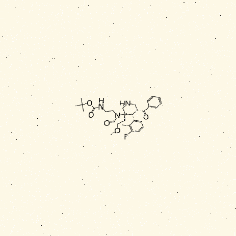 COCC[C@@]1(N(C=O)CCNC(=O)OC(C)(C)C)CNC[C@H](C(=O)c2ccccc2)[C@@H]1c1cccc(F)c1C